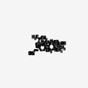 C=C(C)C1CC[C@]2(/C=C/N=O)CC[C@]3(C)[C@H](CC[C@@H]4[C@@]5(C)CC[C@H](O)C(C)(C)[C@@H]5CC[C@]43C)[C@@H]12